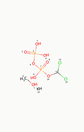 CO.O=P(O)(O)OP(=O)(O)OC(Cl)Cl.[KH]